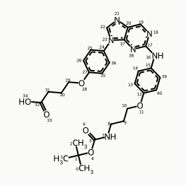 CC(C)(C)OC(=O)NCCCOc1ccc(Nc2ncc3ncn(-c4ccc(OCCCC(=O)O)cc4)c3n2)cc1